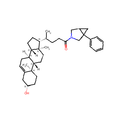 CC(CCC(=O)N1CC2CC2(c2ccccc2)C1)[C@H]1CC[C@H]2[C@@H]3CC=C4C[C@@H](O)CC[C@]4(C)[C@H]3CC[C@]12C